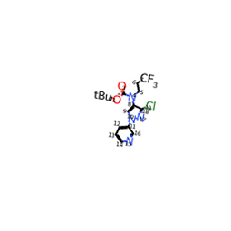 CC(C)(C)OC(=O)N(CCC(F)(F)F)c1cn(-c2cccnc2)nc1Cl